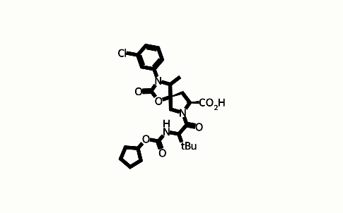 CC1N(c2cccc(Cl)c2)C(=O)O[C@]12C[C@@H](C(=O)O)N(C(=O)C(NC(=O)OC1CCCC1)C(C)(C)C)C2